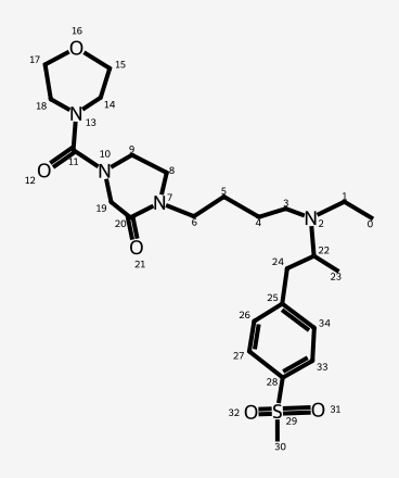 CCN(CCCCN1CCN(C(=O)N2CCOCC2)CC1=O)C(C)Cc1ccc(S(C)(=O)=O)cc1